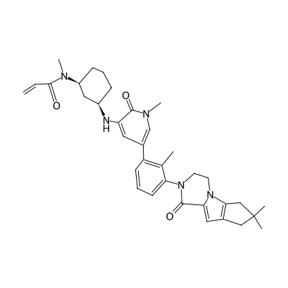 C=CC(=O)N(C)[C@H]1CCC[C@@H](Nc2cc(-c3cccc(N4CCn5c(cc6c5CC(C)(C)C6)C4=O)c3C)cn(C)c2=O)C1